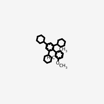 COc1ccc(C)c(-c2c(C3CCCCC3)cc(C3CCCCC3)cc2C2CCCCC2)c1C